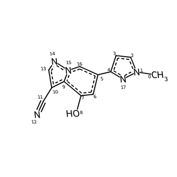 Cn1ccc(-c2cc(O)c3c(C#N)cnn3c2)n1